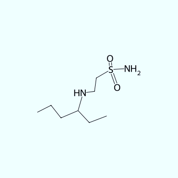 CCCC(CC)NCCS(N)(=O)=O